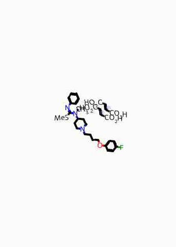 CSC(=Nc1ccccc1)N(C)C1CCN(CCCCOc2ccc(F)cc2)CC1.O=C(O)/C=C/C(=O)O.O=C(O)/C=C/C(=O)O